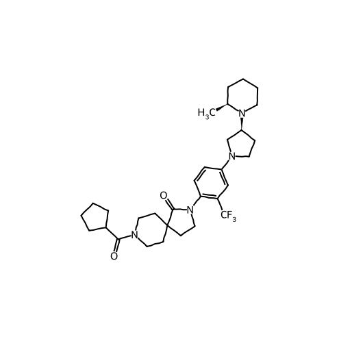 C[C@H]1CCCCN1[C@H]1CCN(c2ccc(N3CCC4(CCN(C(=O)C5CCCC5)CC4)C3=O)c(C(F)(F)F)c2)C1